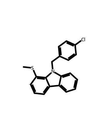 CSc1[c]ccc2c3ccccc3n(Cc3ccc(Cl)cc3)c12